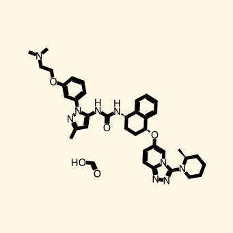 Cc1cc(NC(=O)N[C@H]2CC[C@@H](Oc3ccc4nnc(N5CCCC[C@@H]5C)n4c3)c3ccccc32)n(-c2cccc(OCCN(C)C)c2)n1.O=CO